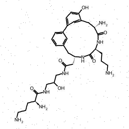 NCCC[C@@H]1NC(=O)[C@@H](N)Cc2cc(ccc2O)-c2cccc(c2)C[C@@H](CC(=O)NCC(O)CNC(=O)[C@@H](N)CCCN)NC1=O